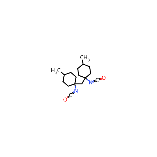 CC1CCC(CC2(N=C=O)CCC(C)CC2)(N=C=O)CC1